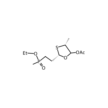 CCOP(C)(=O)CC[C@H]1OC(OC(C)=O)[C@@H](C)S1